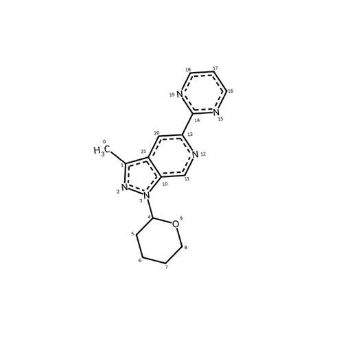 Cc1nn(C2CCCCO2)c2cnc(-c3ncccn3)cc12